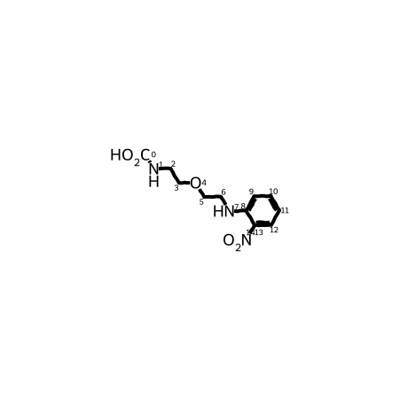 O=C(O)NCCOCCNc1ccccc1[N+](=O)[O-]